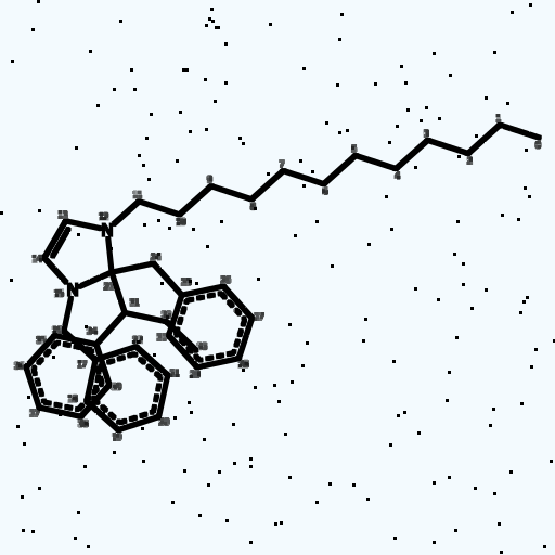 CCCCCCCCCCCCN1C=CN(Cc2ccccc2)C1(Cc1ccccc1)C(CC)c1ccccc1